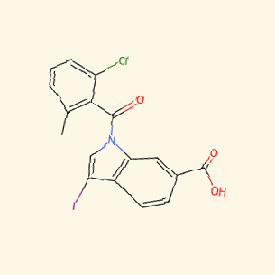 Cc1cccc(Cl)c1C(=O)n1cc(I)c2ccc(C(=O)O)cc21